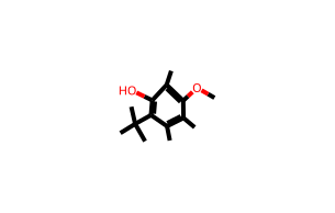 COc1c(C)c(C)c(C(C)(C)C)c(O)c1C